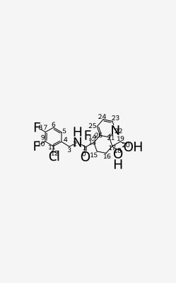 O=C(NCc1ccc(F)c(F)c1Cl)[C@]1(F)CCC(O)(CO)c2ncccc21